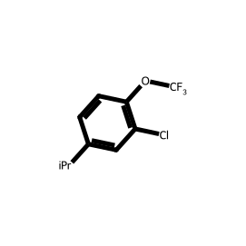 CC(C)c1ccc(OC(F)(F)F)c(Cl)c1